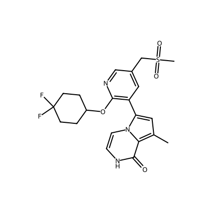 Cc1cc(-c2cc(CS(C)(=O)=O)cnc2OC2CCC(F)(F)CC2)n2cc[nH]c(=O)c12